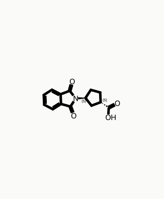 O=C(O)[C@H]1CC[C@H](N2C(=O)c3ccccc3C2=O)C1